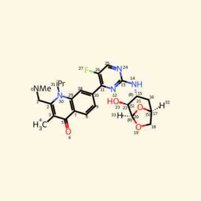 CNCc1c(C)c(=O)c2ccc(-c3nc(N[C@@H]4C[C@H]5CO[C@H](O5)[C@H]4O)ncc3F)cc2n1C(C)C